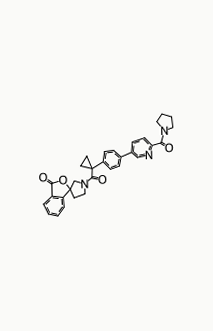 O=C1OC2(CCN(C(=O)C3(c4ccc(-c5ccc(C(=O)N6CCCC6)nc5)cc4)CC3)C2)c2ccccc21